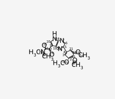 COc1cc(-c2cnc3[nH]cc(C(=O)C(=O)N(C)C)c3n2)cc(OC)c1OC